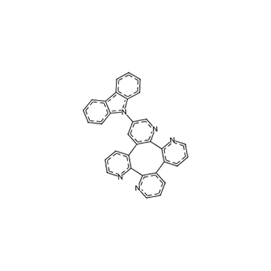 c1cnc2c(c1)-c1cccnc1-c1ncc(-n3c4ccccc4c4ccccc43)cc1-c1cccnc1-2